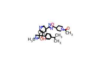 CC(=O)N1CCC(c2nc(-c3cncc(C(O)(c4ccc(C(C)C)cc4)C4(C)CN(C)C4)c3)no2)CC1